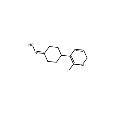 ON=C1CCC(C2=C(F)NCC=C2)CC1